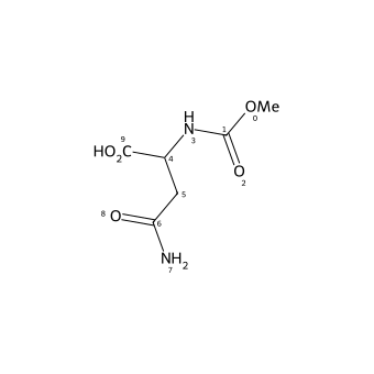 COC(=O)NC(CC(N)=O)C(=O)O